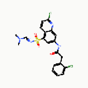 CN(C)/C=N/S(=O)(=O)c1cc(NC(=O)Cc2ccccc2Cl)cc2nc(Cl)ccc12